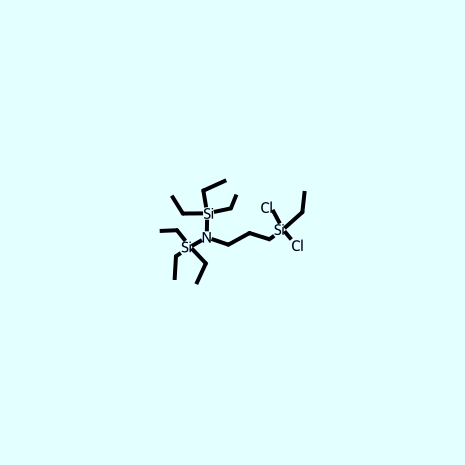 CC[Si](Cl)(Cl)CCCN([Si](CC)(CC)CC)[Si](CC)(CC)CC